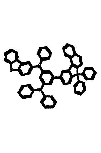 c1ccc(N(c2ccccc2)c2cc(-c3ccc4c(c3)-c3c(ccc5ccccc35)C4(c3ccccc3)c3ccccc3)cc(N(c3ccccc3)c3ccc4sc5ccccc5c4c3)c2)cc1